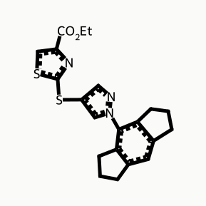 CCOC(=O)c1csc(Sc2cnn(-c3c4c(cc5c3CCC5)CCC4)c2)n1